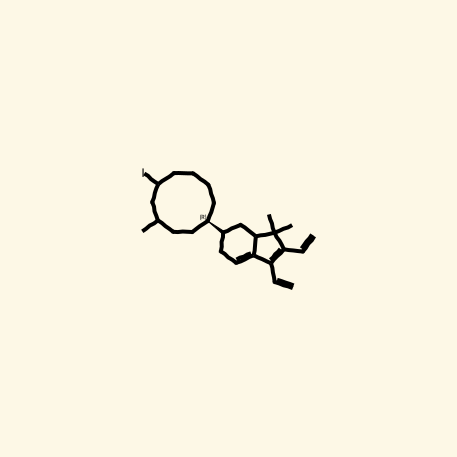 C=CC1=C(C=C)C(C)(C)C2CC([C@@H]3CCCCC(I)CC(C)CC3)CC=C12